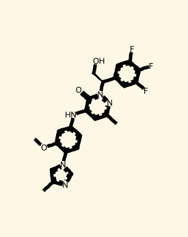 COc1cc(Nc2cc(C)nn([C@@H](CO)c3cc(F)c(F)c(F)c3)c2=O)ccc1-n1cnc(C)c1